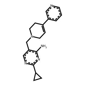 Nc1nc(C2CC2)ncc1CN1CC=C(c2cccnc2)CC1